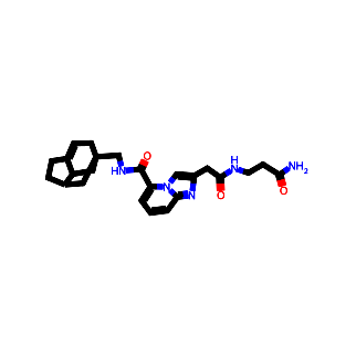 NC(=O)CCNC(=O)Cc1cn2c(C(=O)NCC34CC=C5CCC(C3)C5C4)cccc2n1